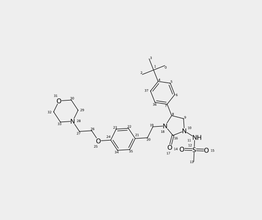 CC(C)(C)c1ccc(C2CN(NS(C)(=O)=O)C(=O)N2CCc2ccc(OCCN3CCOCC3)cc2)cc1